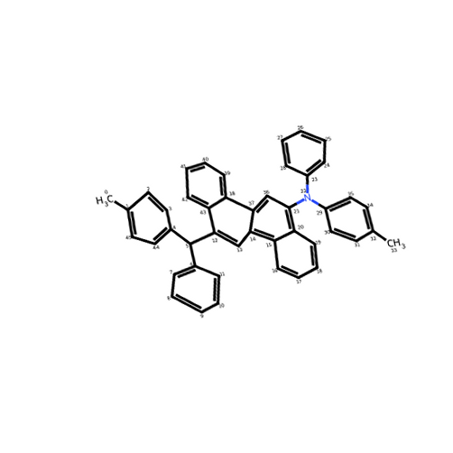 Cc1ccc(C(c2ccccc2)c2cc3c4ccccc4c(N(c4ccccc4)c4ccc(C)cc4)cc3c3ccccc23)cc1